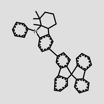 CC1(C)CCCC2c3cc(-c4ccc5c(c4)-c4ccccc4C54c5ccccc5-c5ccccc54)ccc3N(c3ccccc3)C21C